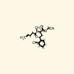 C=CCCC(=O)N(C)C(CCc1ccccc1Cl)C(=O)OCC#N